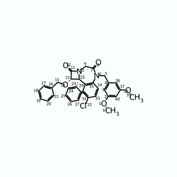 COc1cc(CN2C(=O)CN3C(=O)[C@@H](OCc4ccccc4)[C@]3(c3ccccc3)c3cc(Cl)ccc32)cc(OC)c1